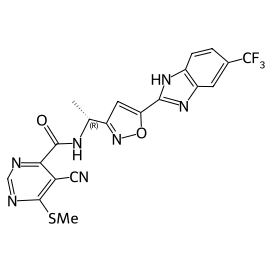 CSc1ncnc(C(=O)N[C@H](C)c2cc(-c3nc4cc(C(F)(F)F)ccc4[nH]3)on2)c1C#N